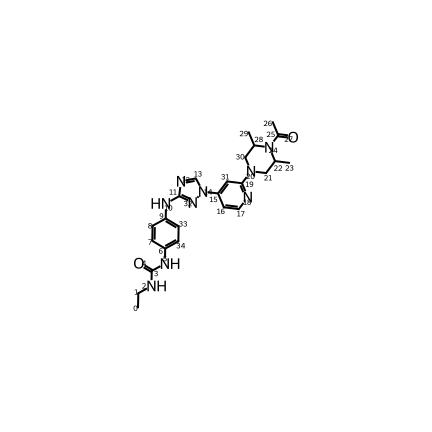 CCNC(=O)Nc1ccc(Nc2ncn(-c3ccnc(N4CC(C)N(C(C)=O)C(C)C4)c3)n2)cc1